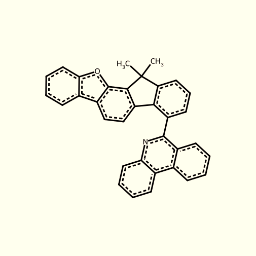 CC1(C)c2cccc(-c3nc4ccccc4c4ccccc34)c2-c2ccc3c(oc4ccccc43)c21